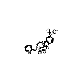 O=[N+]([O-])c1ccc2nc3n(c2c1)CCN(Cc1ccccn1)S3(=O)=O